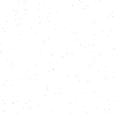 CCCCCCCCCC1CCCN1S(=O)(=O)CCCCCCC